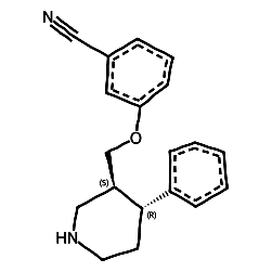 N#Cc1cccc(OC[C@@H]2CNCC[C@H]2c2ccccc2)c1